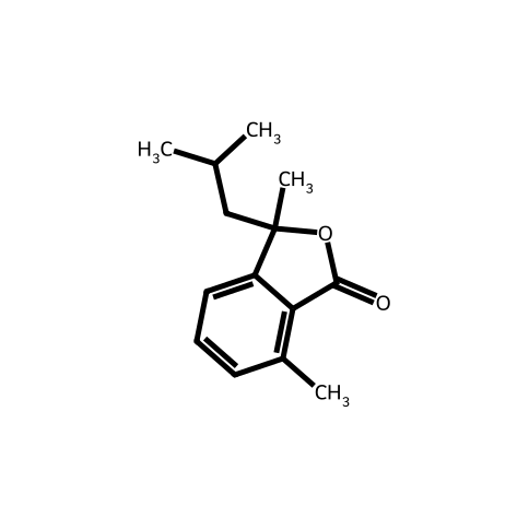 Cc1cccc2c1C(=O)OC2(C)CC(C)C